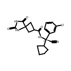 N#C[C@@](NC(=O)C1CC2(C1)NC(=O)NC2=O)(c1cccc(Cl)c1)C1CCCC1